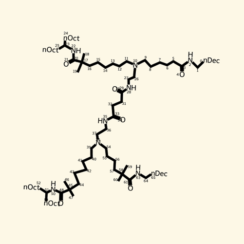 CCCCCCCCCCCNC(=O)CCCCCN(CCCCCCC(C)(C)C(=O)NC(CCCCCCCC)CCCCCCCC)CCNC(=O)CCC(=O)NCCN(CCCCCCC(C)(C)C(=O)NC(CCCCCCCC)CCCCCCCC)CCCCC(C)(C)C(=O)NCCCCCCCCCCC